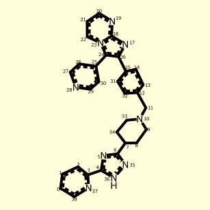 c1ccc(-c2nc(C3CCN(Cc4ccc(-c5nc6ncccn6c5-c5ccncc5)cc4)CC3)n[nH]2)nc1